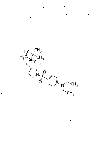 CCN(CC)c1ccc(S(=O)(=O)N2CCC(O[Si](C)(C)C(C)(C)C)C2)cc1